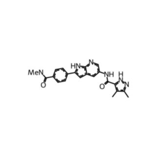 CNC(=O)c1ccc(-c2cc3cc(NC(=O)c4[nH]nc(C)c4C)cnc3[nH]2)cc1